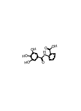 O=C(Nc1ccccc1C(=O)O)c1cc(O)c(O)c(O)c1